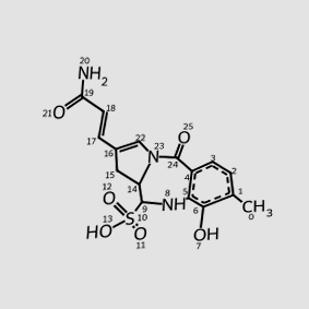 Cc1ccc2c(c1O)NC(S(=O)(=O)O)C1CC(C=CC(N)=O)=CN1C2=O